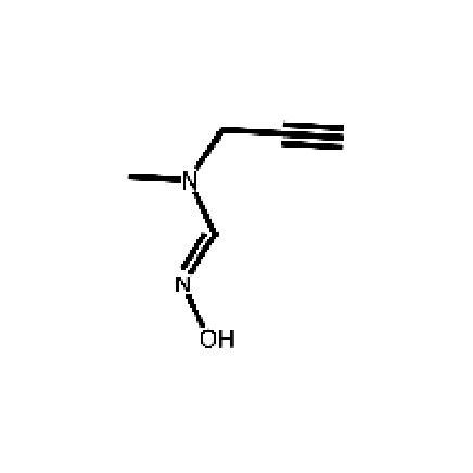 C#CCN(C)C=NO